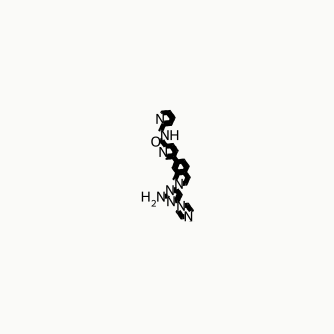 CN1CCN(c2cc(N3CCc4ccc(-c5ccc(C(=O)NCc6ccccn6)nc5)cc4C3)nc(N)n2)CC1